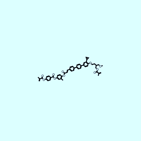 C=C(C)C(=O)OCC(CCOc1ccc(-c2ccc(-c3ccc(/C=C/C(=O)Oc4ccc(OC(=O)c5ccc(OC(=O)C(=C)C)cc5)cc4C)cc3)cc2)cc1C1CC1)COC